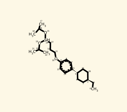 CC[C@H]1CC[C@H](c2ccc(OCCC[SiH](OC(C)C)OC(C)C)cc2)CC1